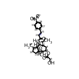 CC(C)[C@@]12C[C@@H](OC(=O)CO)[C@@](C)(O1)[C@@H]1CC[C@@H](C)[C@H]1[C@@H]2OC(=O)/C=C/c1ccc([N+](=O)[O-])cc1